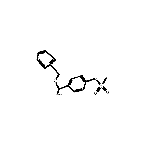 CC(C)(C)C(OCc1ccccc1)c1ccc(OS(C)(=O)=O)cc1